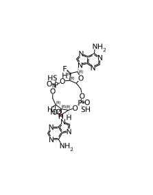 Nc1ncnc2c1ncn2[C@@H]1OC2CO[P@@](=O)(S)O[C@@H]3[C@H](O)[C@@H](CO[P@@](=O)(S)O[C@H]2[C@H]1F)O[C@H]3n1cnc2c(N)ncnc21